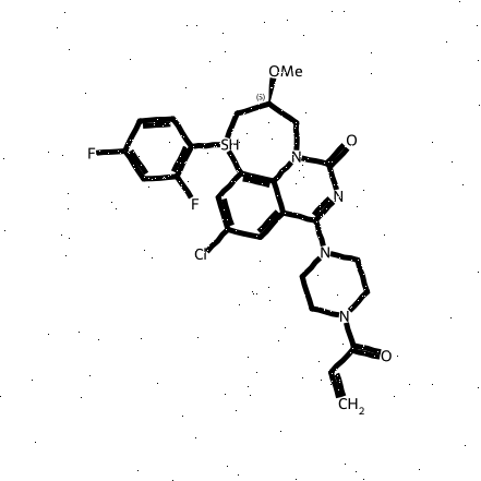 C=CC(=O)N1CCN(c2nc(=O)n3c4c(cc(Cl)cc24)[SH](c2ccc(F)cc2F)C[C@@H](OC)C3)CC1